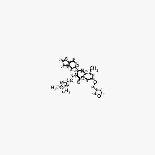 Cc1cc(OCC2CCOC2)cc2c(=O)n(COCC[Si](C)(C)C)c(-c3cc4ccsc4cn3)nc12